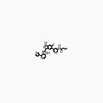 CCCC(=O)Nc1cncc(-c2cc3c(-c4nc5c(-c6ccsc6)nccc5[nH]4)n[nH]c3cc2F)c1